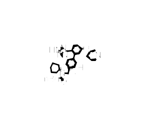 CCCCC(=O)N(Cc1ccc(-c2cc(Oc3cccnc3)ccc2-c2nn[nH]n2)cc1)C1(C(=O)O)CCCCC1